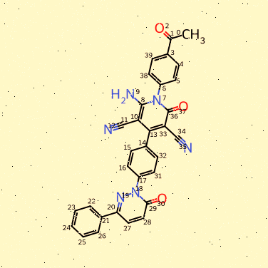 CC(=O)c1ccc(-n2c(N)c(C#N)c(-c3ccc(-n4nc(-c5ccccc5)ccc4=O)cc3)c(C#N)c2=O)cc1